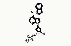 CN(c1ncnc2c1ccn2C1CC(O)[C@H](COS(N)(=O)=O)C1)[C@H]1CCc2ccccc21